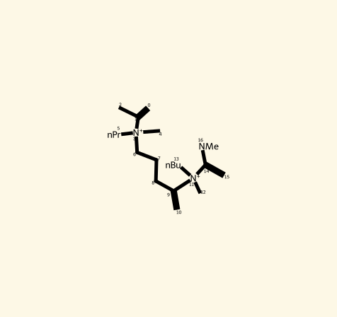 C=C(C)[N+](C)(CCC)CCCC(=C)[N+](C)(CCCC)C(=C)NC